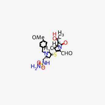 COc1ccc(CN2C[C@@H](SC3=C(C=O)N4C(=O)[C@H]([C@@H](C)O)[C@H]4[C@H]3C)C[C@H]2CNS(N)(=O)=O)cc1